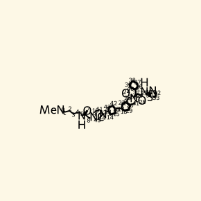 CNCCCCNC(=O)CN1CCN(c2ccc(-c3ccc4c(c3)C(=O)N(C(C(=O)Nc3nccs3)c3ccccc3)C4)cc2)CC1